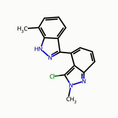 Cc1cccc2c(-c3cccc4nn(C)c(Cl)c34)n[nH]c12